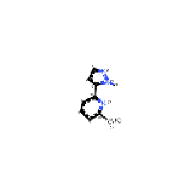 Cn1nccc1-c1cccc(C=O)n1